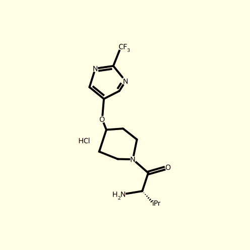 CC(C)[C@H](N)C(=O)N1CCC(Oc2cnc(C(F)(F)F)nc2)CC1.Cl